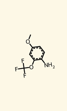 COc1ccc(N)c(OC(F)(F)F)c1